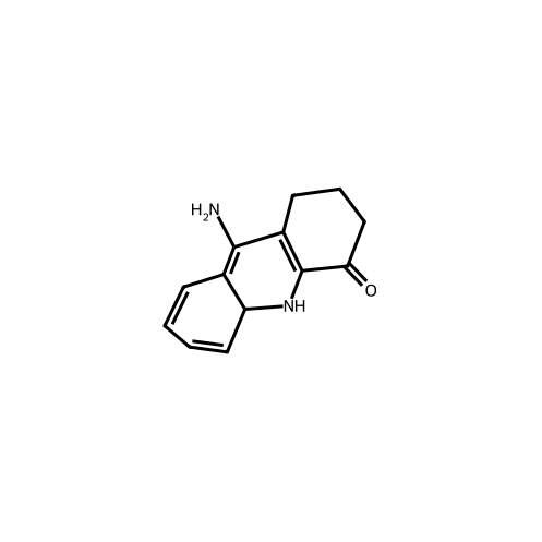 NC1=C2C=CC=CC2NC2=C1CCCC2=O